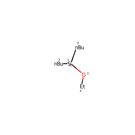 CCCC[Si](CCCC)OCC